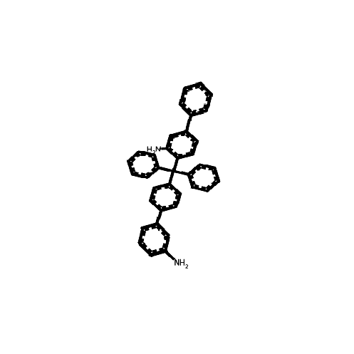 Nc1cccc(-c2ccc(C(c3ccccc3)(c3ccccc3)c3ccc(-c4ccccc4)cc3N)cc2)c1